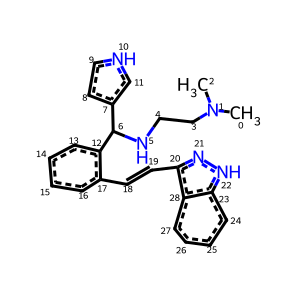 CN(C)CCNC(c1cc[nH]c1)c1ccccc1C=Cc1n[nH]c2ccccc12